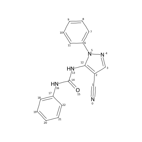 N#Cc1cnn(-c2ccccc2)c1NC(=O)Nc1ccccc1